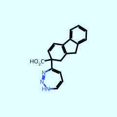 O=C(O)C1(C2=CC=CNN=N2)C=CC2=C(Cc3ccccc32)C1